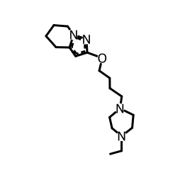 CCN1CCN(CCCCOc2cc3n(n2)CCCC3)CC1